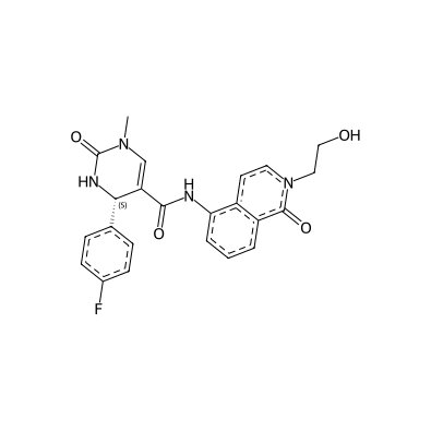 CN1C=C(C(=O)Nc2cccc3c(=O)n(CCO)ccc23)[C@H](c2ccc(F)cc2)NC1=O